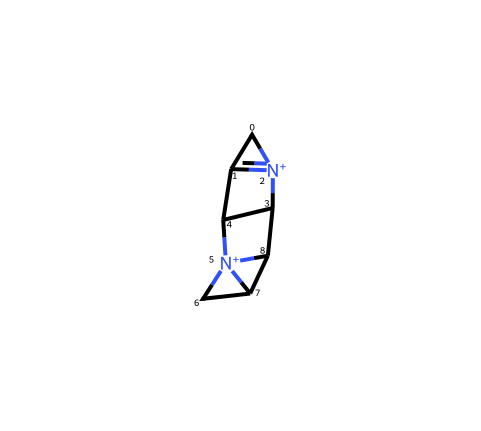 C1C2=[N+]1C1C2[N+]23CC2C13